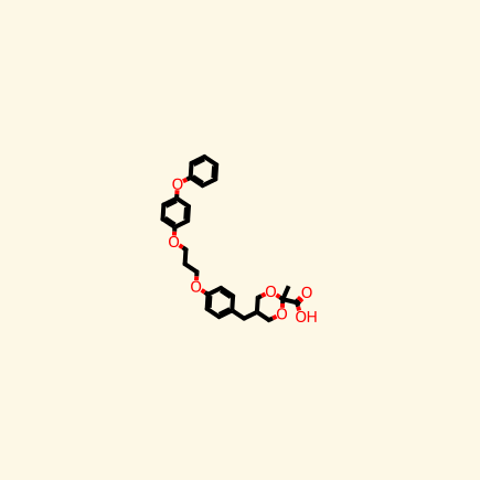 CC1(C(=O)O)OCC(Cc2ccc(OCCCOc3ccc(Oc4ccccc4)cc3)cc2)CO1